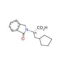 O=C(O)[C@H](CC1CCCC1)N1Cc2ccccc2C1=O